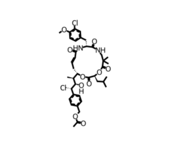 COc1ccc(C[C@H]2NC(=O)/C=C/C[C@@H]([C@H](C)[C@@H](O)[C@@H](Cl)c3ccc(COC(C)=O)cc3)OC(=O)[C@H](CC(C)C)OC(=O)C(C)(C)CNC2=O)cc1Cl